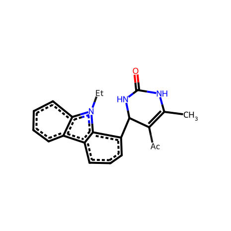 CCn1c2ccccc2c2cccc(C3NC(=O)NC(C)=C3C(C)=O)c21